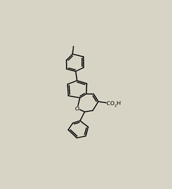 Cc1ccc(-c2ccc3c(c2)C=C(C(=O)O)CC(c2ccccc2)O3)cc1